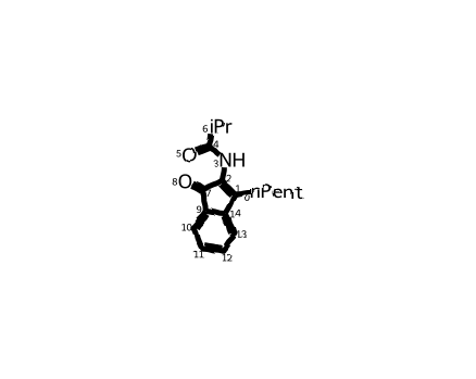 CCCCCC1=C(NC(=O)C(C)C)C(=O)c2ccccc21